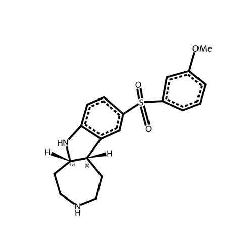 COc1cccc(S(=O)(=O)c2ccc3c(c2)[C@@H]2CCNCC[C@@H]2N3)c1